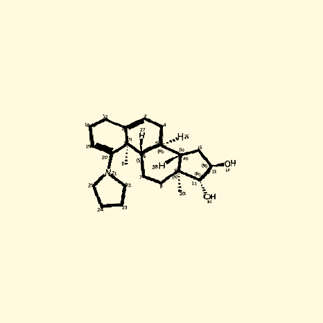 C[C@]12C(=CC[C@@H]3[C@@H]1CC[C@]1(C)[C@@H](O)[C@H](O)C[C@@H]31)CCC=C2N1CCCC1